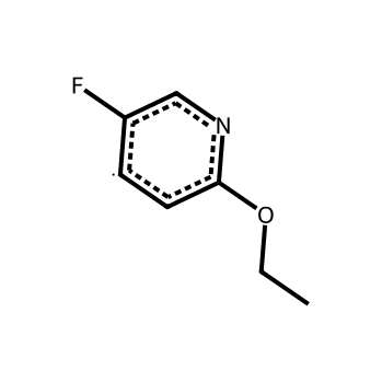 CCOc1c[c]c(F)cn1